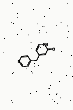 O=c1cc(Cc2ccncc2)cc[nH]1